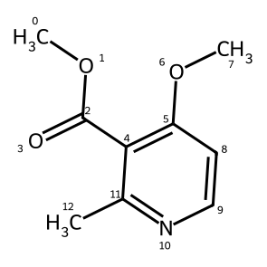 COC(=O)c1c(OC)ccnc1C